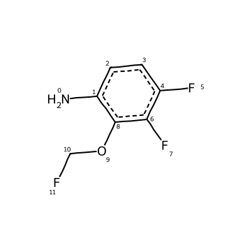 Nc1ccc(F)c(F)c1OCF